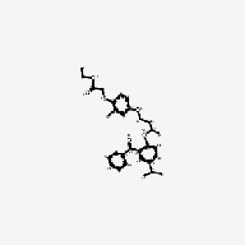 CCOC(=O)CSc1ccc(OCCC(C)Oc2ccc(C(C)C)cc2C(=O)c2ccccc2)cc1C